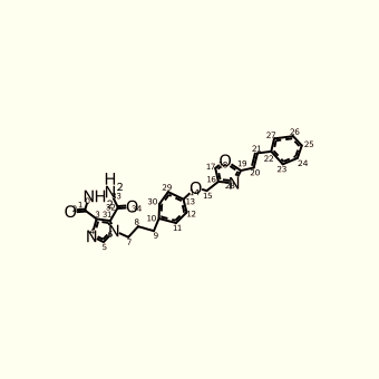 NC(=O)c1ncn(CCCc2ccc(OCc3coc(/C=C/c4ccccc4)n3)cc2)c1C(N)=O